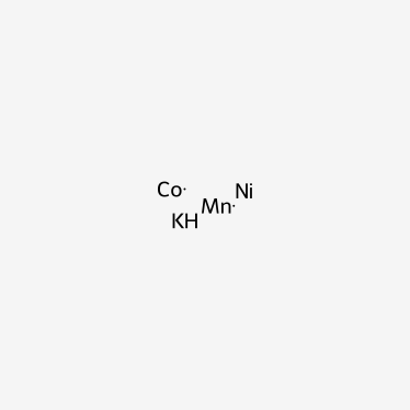 [Co].[KH].[Mn].[Ni]